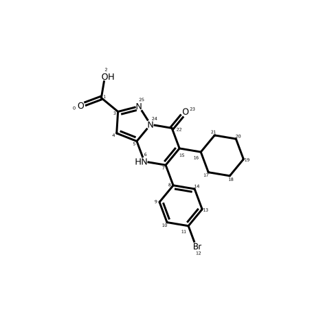 O=C(O)c1cc2[nH]c(-c3ccc(Br)cc3)c(C3CCCCC3)c(=O)n2n1